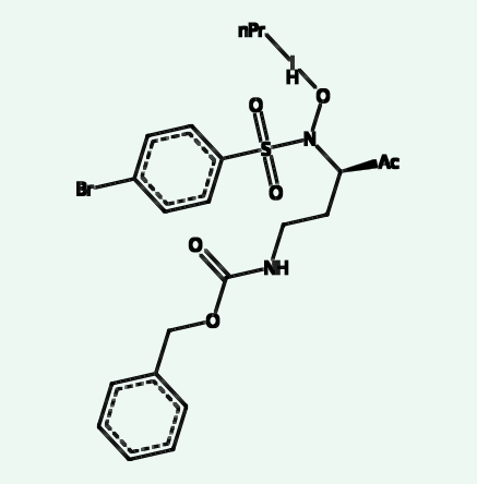 CCC[IH]ON([C@H](CCNC(=O)OCc1ccccc1)C(C)=O)S(=O)(=O)c1ccc(Br)cc1